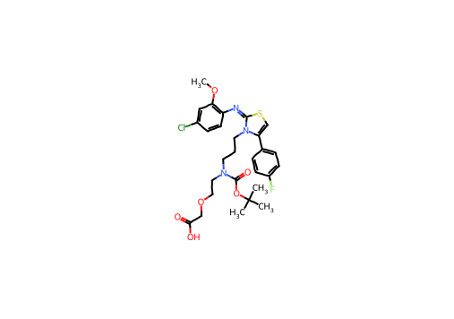 COc1cc(Cl)ccc1/N=c1/scc(-c2ccc(F)cc2)n1CCCN(CCOCC(=O)O)C(=O)OC(C)(C)C